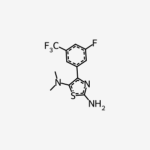 CN(C)c1sc(N)nc1-c1cc(F)cc(C(F)(F)F)c1